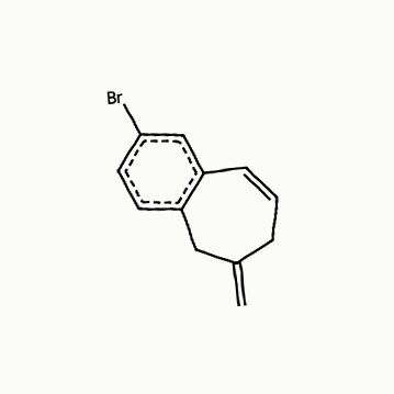 C=C1CC=Cc2cc(Br)ccc2C1